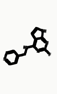 Fc1nc(NCc2ccncc2)c2cc[nH]c2n1